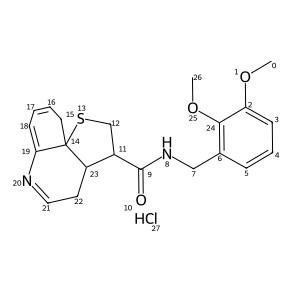 COc1cccc(CNC(=O)C2CSC34CC=CC=C3N=CCC24)c1OC.Cl